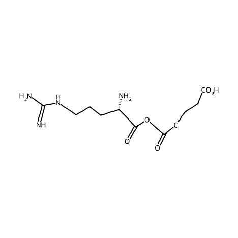 N=C(N)NCCC[C@H](N)C(=O)OC(=O)CCCC(=O)O